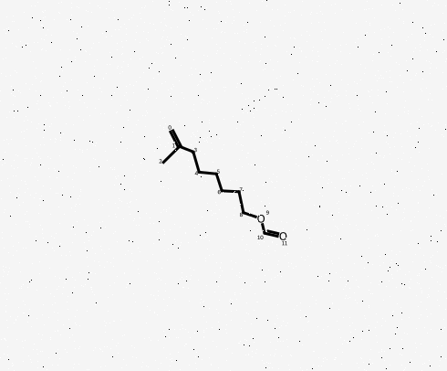 C=C(C)CCCCCCOC=O